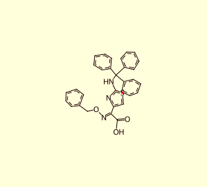 O=C(O)/C(=N/OCc1ccccc1)c1csc(NC(c2ccccc2)(c2ccccc2)c2ccccc2)n1